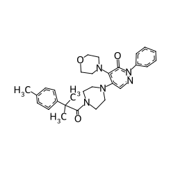 Cc1ccc(C(C)(C)C(=O)N2CCN(c3cnn(-c4ccccc4)c(=O)c3N3CCOCC3)CC2)cc1